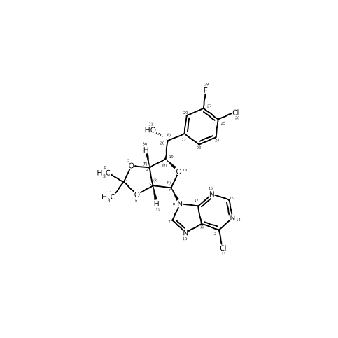 CC1(C)O[C@H]2[C@@H](O1)[C@H](n1cnc3c(Cl)ncnc31)O[C@@H]2[C@H](O)c1ccc(Cl)c(F)c1